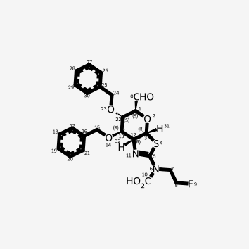 O=C[C@H]1O[C@@H]2SC(N(CCF)C(=O)O)=N[C@@H]2[C@@H](OCc2ccccc2)[C@@H]1OCc1ccccc1